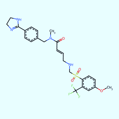 COc1ccc(S(=O)(=O)CNCC=CC(=O)N(C)Cc2ccc(C3=NCCN3)cc2)c(C(F)(F)F)c1